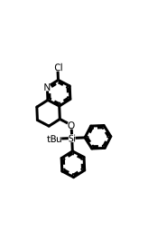 CC(C)(C)[Si](OC1CCCc2nc(Cl)ccc21)(c1ccccc1)c1ccccc1